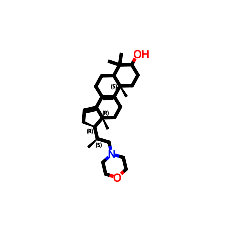 C[C@H](CN1CCOCC1)[C@H]1CC=C2C3=C(CC[C@@]21C)[C@@]1(C)CCC(O)C(C)(C)C1CC3